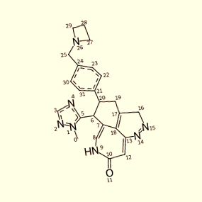 Cn1ncnc1C1C2=CNC(=O)C=C3N=NCC(=C32)CC1c1ccc(CN2CCC2)cc1